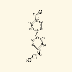 O=C=Nc1ccc(-c2ccc(C=O)cc2)cc1